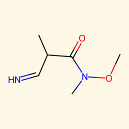 CON(C)C(=O)C(C)C=N